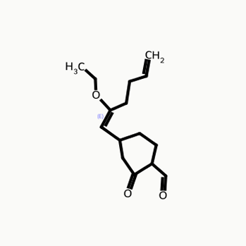 C=CCC/C(=C\C1CCC(C=O)C(=O)C1)OCC